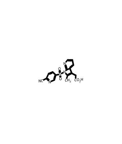 Cc1c(CC(=O)O)c2cccnc2n1S(=O)(=O)c1ccc(C#N)nc1